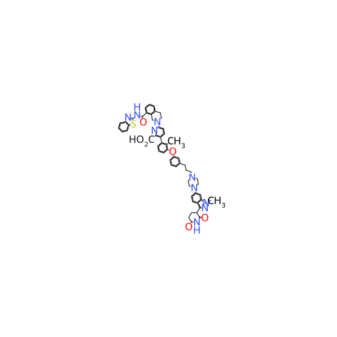 Cc1c(Oc2cccc(CCCN3CCN(c4ccc5c(C6CCC(=O)NC6=O)nn(C)c5c4)CC3)c2)cccc1-c1ccc(N2CCc3cccc(C(=O)Nc4nc5ccccc5s4)c3C2)nc1C(=O)O